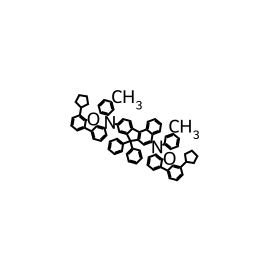 Cc1cccc(N(c2ccc3c(c2)C(c2ccccc2)(c2ccccc2)c2cc(N(c4cccc(C)c4)c4cccc5c4oc4c(C6CCCC6)cccc45)c4ccccc4c2-3)c2cccc3c2oc2c(C4CCCC4)cccc23)c1